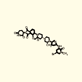 C[C@H]1CN([C@H]2CCN3c4ccc5c(c4OC[C@H]3C2)C(=O)N(C2CCC(=O)NC2=O)C5=O)CCN1c1ccc(Nc2cc(Br)cn(C)c2=O)nc1